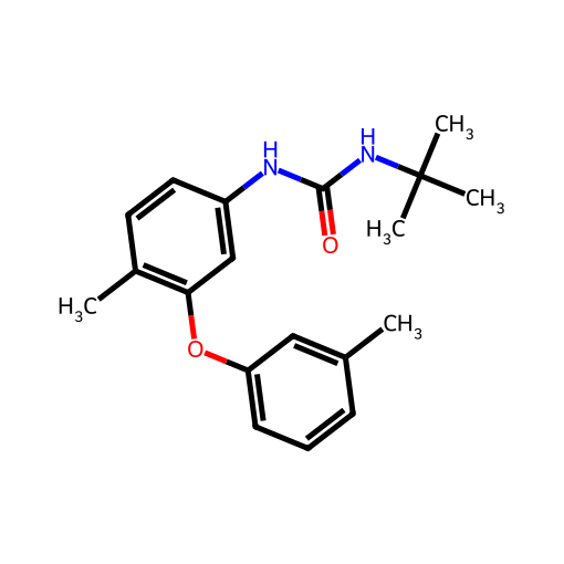 Cc1cccc(Oc2cc(NC(=O)NC(C)(C)C)ccc2C)c1